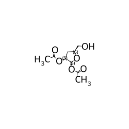 CC(=O)O[C@@H]1O[C@H](CO)C[C@@H]1OC(C)=O